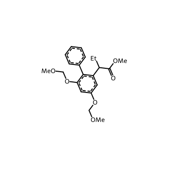 CCC(C(=O)OC)c1cc(OCOC)cc(OCOC)c1-c1ccccc1